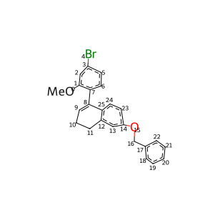 COc1cc(Br)ccc1C1=CCCc2cc(OCc3ccccc3)ccc21